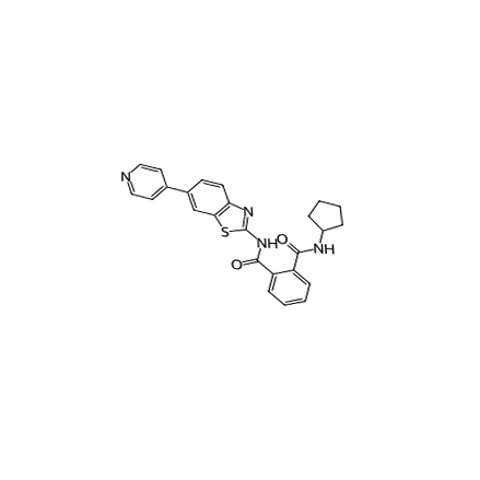 O=C(Nc1nc2ccc(-c3ccncc3)cc2s1)c1ccccc1C(=O)NC1CCCC1